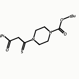 CC(C)C(=O)CC(=S)N1CCN(C(=O)OC(C)(C)C)CC1